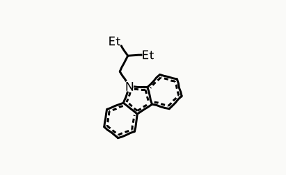 CCC(CC)Cn1c2ccccc2c2ccccc21